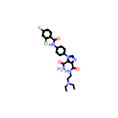 CCN(CC)CCNC(=O)c1ncn(-c2ccc(NC(=O)c3ccc(F)cc3Cl)cc2)c1C(N)=O